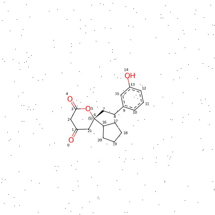 O=C1CC(=O)O[C@](CCc2cccc(O)c2)(C2CCCC2)C1